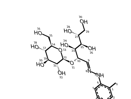 Cc1ccccc1NN=C[C@H](O[C@@H]1O[C@H](CO)[C@@H](O)[C@H](O)[C@H]1O)[C@@H](O)[C@H](O)[C@H](O)CO